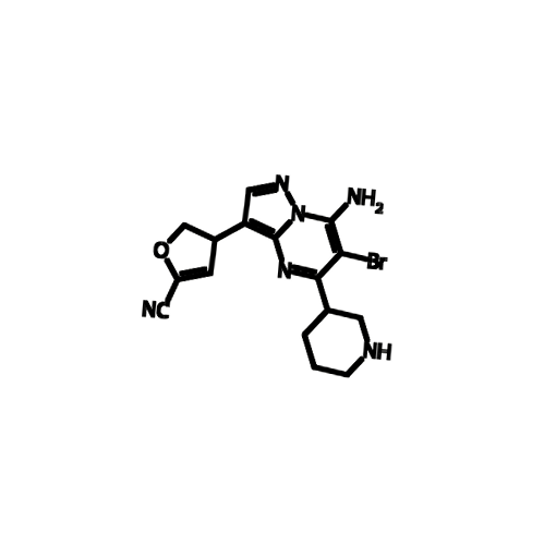 N#CC1=CC(c2cnn3c(N)c(Br)c(C4CCCNC4)nc23)CO1